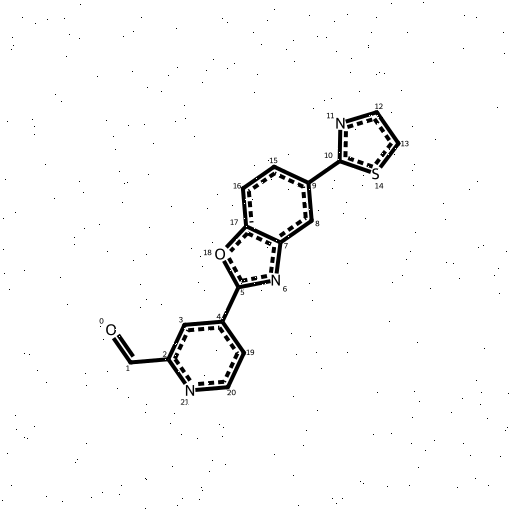 O=Cc1cc(-c2nc3cc(-c4nccs4)ccc3o2)ccn1